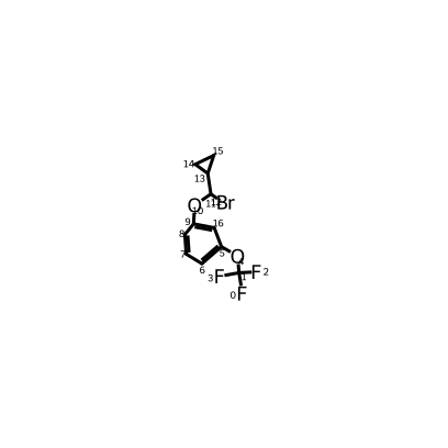 FC(F)(F)Oc1cccc(OC(Br)C2CC2)c1